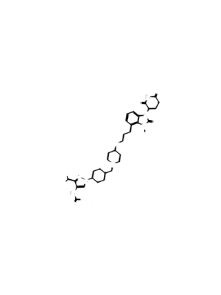 Cn1c(=O)n(C2CCC(=O)NC2=O)c2cccc(CCCOC3CCN(CC4CCC(n5cc(NC(=O)OC(C)(C)C)c(C(F)F)n5)CC4)CC3)c21